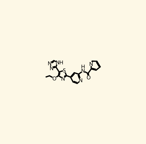 CCOc1nc(-c2ccnc(NC(=O)c3ccccn3)c2)sc1-c1nnc[nH]1